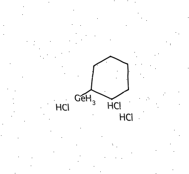 Cl.Cl.Cl.[GeH3][CH]1CCCCC1